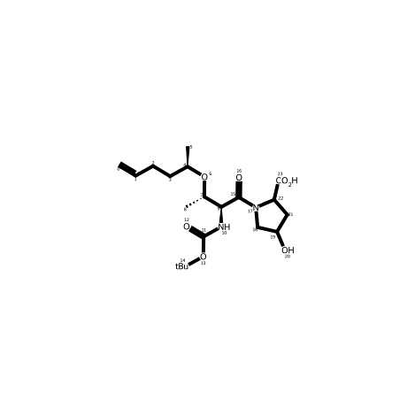 C=CCC[C@@H](C)O[C@@H](C)[C@H](NC(=O)OC(C)(C)C)C(=O)N1CC(O)CC1C(=O)O